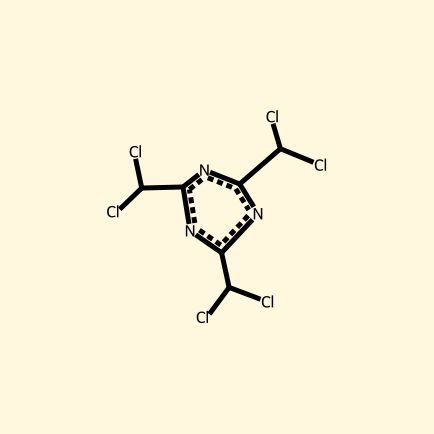 ClC(Cl)c1nc(C(Cl)Cl)nc(C(Cl)Cl)n1